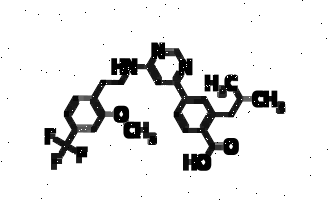 COc1cc(C(F)(F)F)ccc1CCNc1cc(-c2ccc(C(=O)O)c(CC(C)C)c2)ncn1